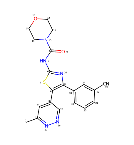 Cc1cc(-c2sc(NC(=O)N3CCOCC3)nc2-c2cccc(C#N)c2)cnn1